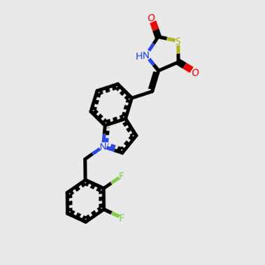 O=C1NC(=Cc2cccc3c2ccn3Cc2cccc(F)c2F)C(=O)S1